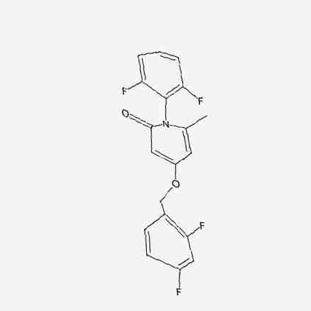 Cc1cc(OCc2ccc(F)cc2F)cc(=O)n1-c1c(F)cccc1F